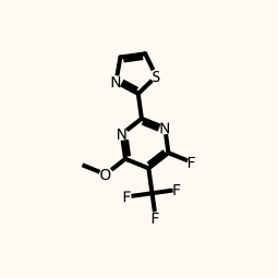 COc1nc(-c2nccs2)nc(F)c1C(F)(F)F